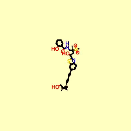 C[C@]1(CO)C[C@@H]1C#CC#Cc1ccc2nc([C@H](O)C[C@](C)(CNC(=O)c3ccccc3O)S(C)(=O)=O)sc2c1